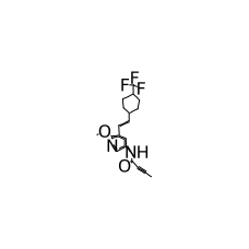 CC#CC(=O)Nc1cnc(OC)c(C=CC2CCC(C(F)(F)F)CC2)c1